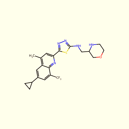 Cc1cc(-c2nnc(NCC3COCCN3)s2)nc2c(C(F)(F)F)cc(C3CC3)cc12